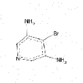 Nc1cncc(N)c1Br